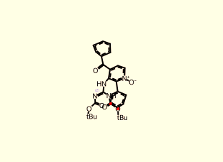 CC(C)(C)OC(=O)/N=C(\NC(=O)OC(C)(C)C)Nc1c(C(=O)c2ccccc2)cc[n+]([O-])c1-c1ccccc1